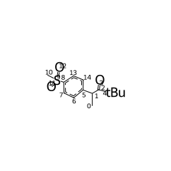 CC(C(=O)C(C)(C)C)c1ccc(S(C)(=O)=O)cc1